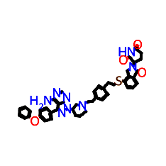 Nc1ncnc2c1c(-c1ccc(Oc3ccccc3)cc1)nn2C1CCCN(CCc2ccc(CCSc3cccc4c3CN(C3CCC(=O)NC3=O)C4=O)cc2)C1